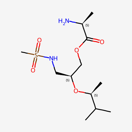 CC(C)[C@H](C)O[C@@H](CNS(C)(=O)=O)COC(=O)[C@H](C)N